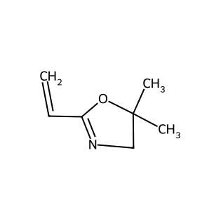 C=CC1=NCC(C)(C)O1